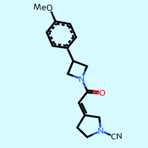 COc1ccc(C2CN(C(=O)/C=C3/CCN(C#N)C3)C2)cc1